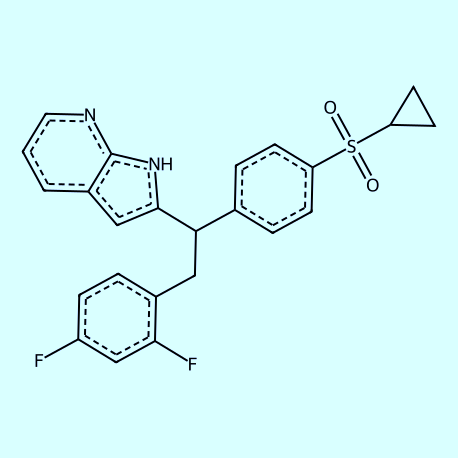 O=S(=O)(c1ccc(C(Cc2ccc(F)cc2F)c2cc3cccnc3[nH]2)cc1)C1CC1